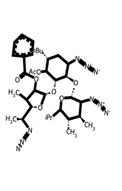 CCCC[C@@H]1CC(N=[N+]=[N-])[C@@H](O[C@H]2OC(C(C)C)[C@@H](C)[C@H](C)C2N=[N+]=[N-])[C@H](O[C@@H]2O[C@H]([C@H](C)N=[N+]=[N-])C(C)C2OC(=O)c2ccccc2)C1OC(C)=O